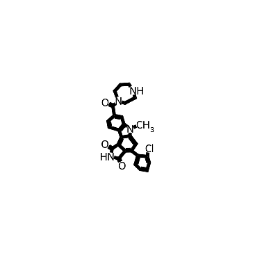 Cn1c2cc(C(=O)N3CCCNCC3)ccc2c2c3c(c(-c4ccccc4Cl)cc21)C(=O)NC3=O